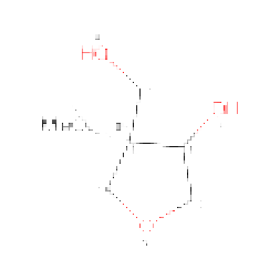 CO[C@@]1(CO)COCC1O